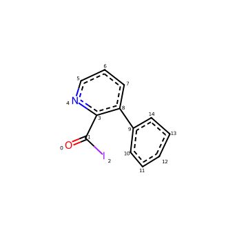 O=C(I)c1ncccc1-c1ccccc1